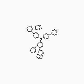 c1ccc(-c2ccc(N(c3ccc4c(c3)-c3ccccc3C43C4CC5CC(C4)CC3C5)c3ccc4c(c3)C3(CC5CCC3C5)c3ccccc3-4)cc2)cc1